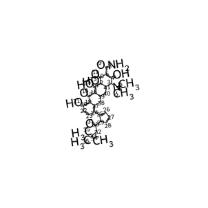 CN(C)C1C(O)=C(C(N)=O)C(=O)C2(O)C(O)=C3C(=O)c4c(O)ccc(C5=CC=CC5C(=O)CC(C)(C)C)c4CC3CC12